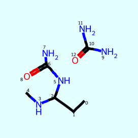 CCC(NC)NC(N)=O.NC(N)=O